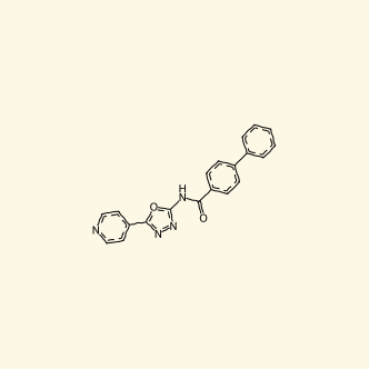 O=C(Nc1nnc(-c2ccncc2)o1)c1ccc(-c2ccccc2)cc1